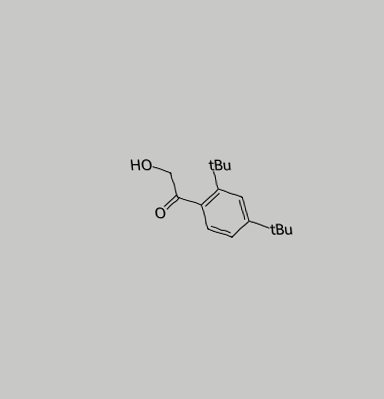 CC(C)(C)c1ccc(C(=O)CO)c(C(C)(C)C)c1